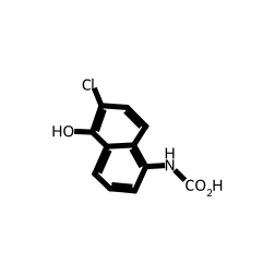 O=C(O)Nc1cccc2c(O)c(Cl)ccc12